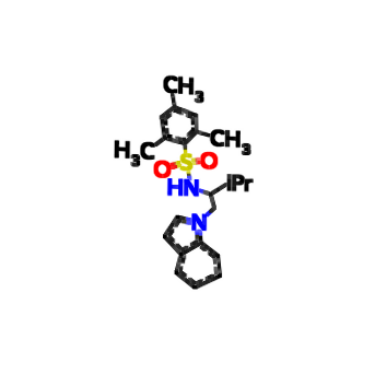 Cc1cc(C)c(S(=O)(=O)NC(Cn2ccc3ccccc32)C(C)C)c(C)c1